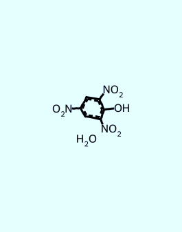 O.O=[N+]([O-])c1cc([N+](=O)[O-])c(O)c([N+](=O)[O-])c1